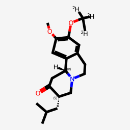 [2H]C([2H])([2H])Oc1cc2c(cc1OC)[C@H]1CC(=O)[C@@H](CC(C)C)CN1CC2